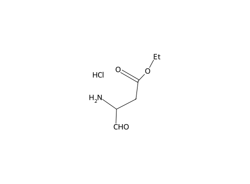 CCOC(=O)CC(N)C=O.Cl